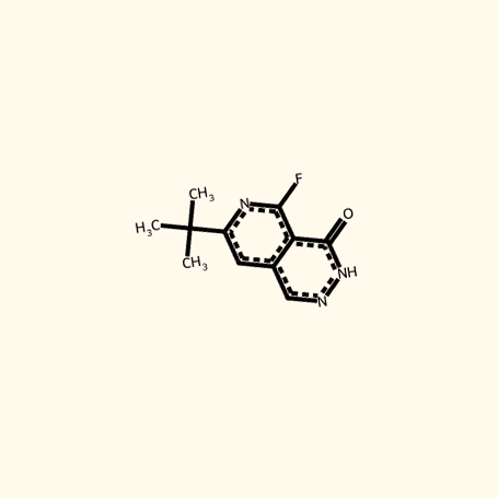 CC(C)(C)c1cc2cn[nH]c(=O)c2c(F)n1